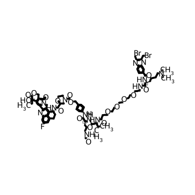 CC[C@]1(O)C(=O)OCc2c1cc1n(c2=O)Cc2c-1nc1cc(F)cc3c1c2[C@H](NC(=O)C1CN(C(=O)OCc2ccc(NC(=O)[C@H](CCCNC=O)NC(=O)[C@@H](NC(=O)CCOCCOCCOCCOCCNC(=O)[C@H](CCCCN(C)C)NC(=O)c4ccc5nc(CBr)c(CBr)nc5c4)C(C)C)cc2)CCO1)CC3